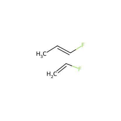 C=CF.CC=CF